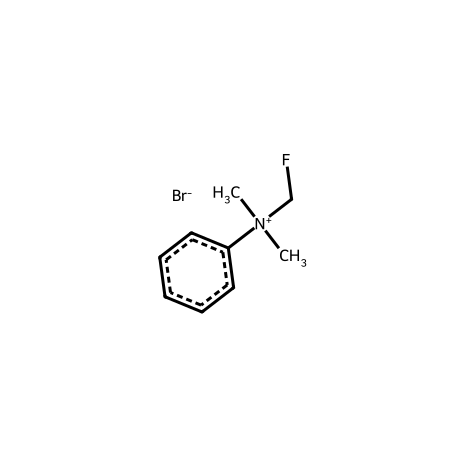 C[N+](C)(CF)c1ccccc1.[Br-]